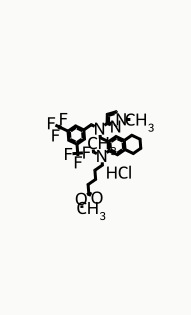 CCN(CCCCC(=O)OC)c1cc2c(cc1CN(Cc1cc(C(F)(F)F)cc(C(F)(F)F)c1)c1ccn(C)n1)CCCC2.Cl